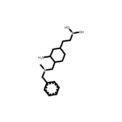 CN(Cc1ccccc1)CC1CCC(CCB(O)O)CC1N